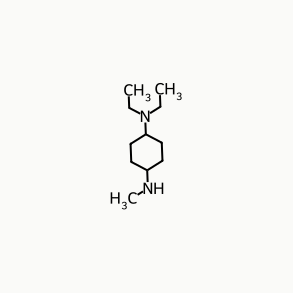 CCN(CC)C1CCC(NC)CC1